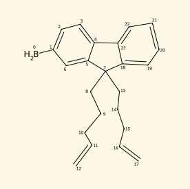 Bc1ccc2c(c1)C(CCCC=C)(CCCC=C)c1ccccc1-2